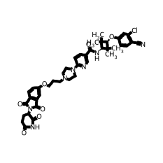 CC1(C)[C@H](NC(=O)c2ccc(N3CCN(CCCOc4ccc5c(c4)C(=O)N(C4CCC(=O)NC4=O)C5=O)CC3)nc2)C(C)(C)[C@H]1Oc1ccc(C#N)c(Cl)c1